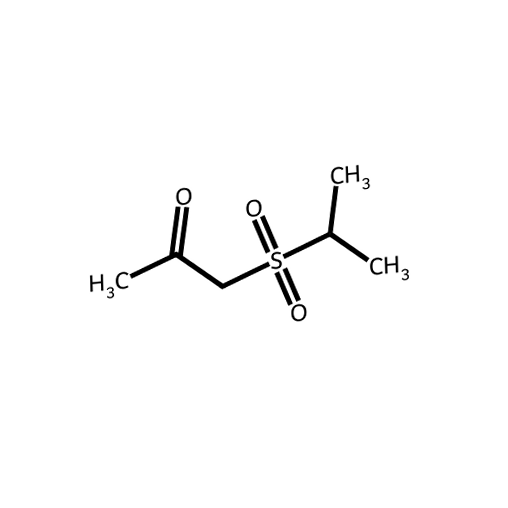 CC(=O)CS(=O)(=O)C(C)C